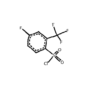 O=S(=O)(Cl)c1ccc(F)cc1C(F)(F)F